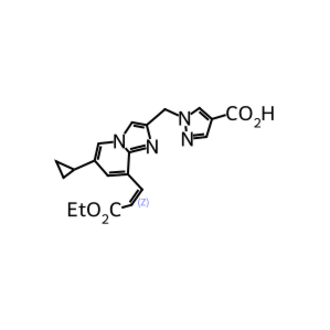 CCOC(=O)/C=C\c1cc(C2CC2)cn2cc(Cn3cc(C(=O)O)cn3)nc12